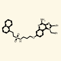 CCCc1nc2c(N)nc3cc(OCCCNS(=O)(=O)CCc4cccc5ccccc45)ccc3c2n1CC(C)C